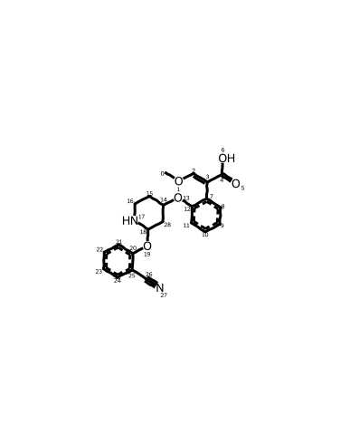 CO/C=C(/C(=O)O)c1ccccc1OC1CCNC(Oc2ccccc2C#N)C1